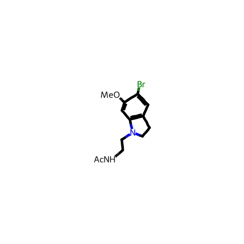 COc1cc2c(cc1Br)CCN2CCNC(C)=O